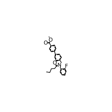 CCCCC(=O)N(Cc1ccc(-c2ccc(C(=O)OC)cc2)cc1)c1ccccc1F